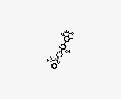 CCC(C)C(=O)c1c(C)cc(-c2cnc(N3CCN(C(=O)[C@](O)(c4ccccc4)C(F)(F)F)CC3)c(C#N)c2)cc1Cl